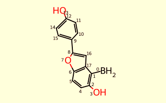 Bc1c(O)ccc2oc(-c3ccc(O)cc3)cc12